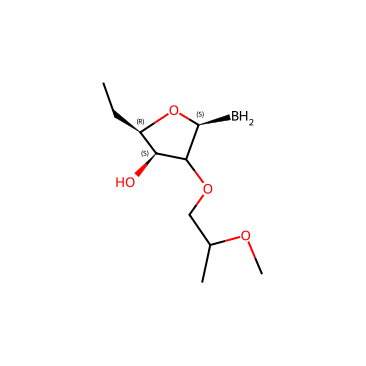 B[C@@H]1O[C@H](CC)[C@H](O)C1OCC(C)OC